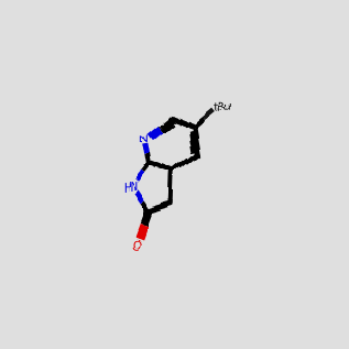 CC(C)(C)C1=CC2CC(=O)NC2N=C1